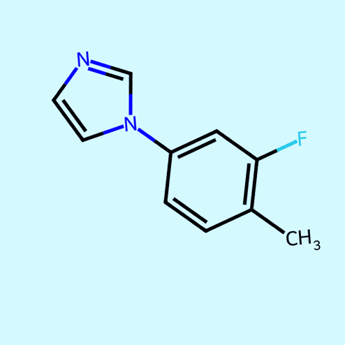 Cc1ccc(-n2ccnc2)cc1F